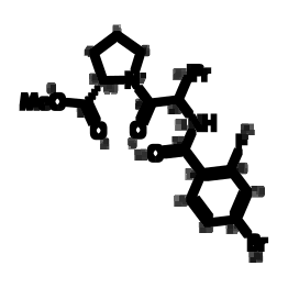 COC(=O)[C@@H]1CCCN1C(=O)C(NC(=O)c1ccc(Br)cc1F)C(C)C